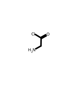 NCC(=O)Cl